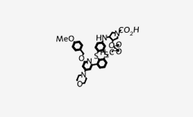 COc1ccc(COc2cc(N3CCOCC3)cc(-c3cccc4c3Sc3ccc(NC5CN(C(=O)O)CC5OS(C)(=O)=O)cc3S4)n2)cc1